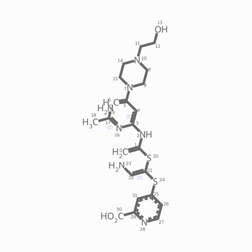 C=C(NC(=C/C(=C)N1CCN(CCO)CC1)/N=C(/C)N)S/C(=C\N)Sc1ccnc(C(=O)O)c1